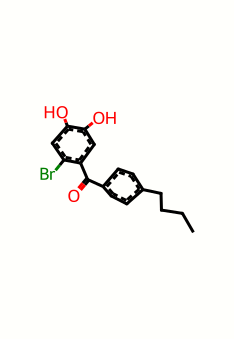 CCCCc1ccc(C(=O)c2cc(O)c(O)cc2Br)cc1